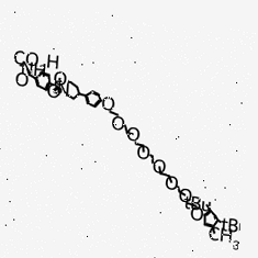 Cc1cc(OCCOCCOCCOCCOCCOCCOCCOc2ccc(C3CCN(S(=O)(=O)c4ccc(C(=O)NCC(=O)O)cc4)CC3)cc2)c(C(C)(C)C)cc1C(C)(C)C